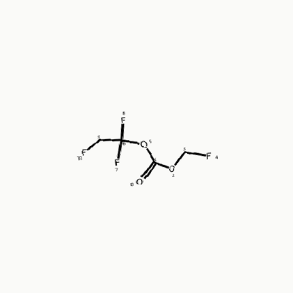 O=C(OCF)OC(F)(F)CF